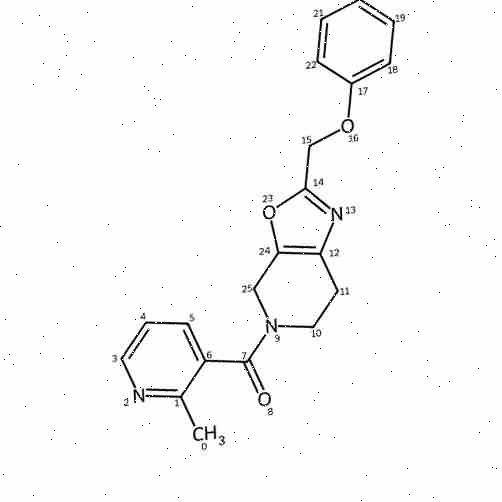 Cc1ncccc1C(=O)N1CCc2nc(COc3ccccc3)oc2C1